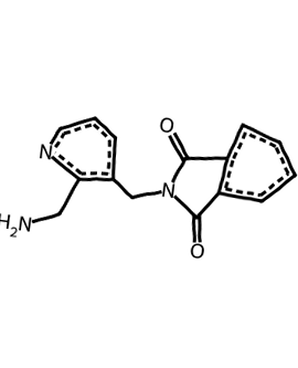 NCc1ncccc1CN1C(=O)c2ccccc2C1=O